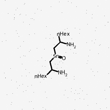 CCCCCCC(N)[CH2][Sn](=[O])[CH2]C(N)CCCCCC